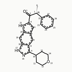 C[C@@H](C(=O)c1cc2cc3c(C4CCOCC4)n[nH]c3cc2[nH]1)c1ccccc1